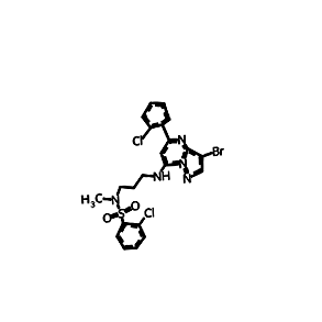 CN(CCCNc1cc(-c2ccccc2Cl)nc2c(Br)cnn12)S(=O)(=O)c1ccccc1Cl